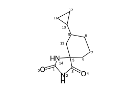 O=C1NC(=O)C2(CCCC(C3CC3)C2)N1